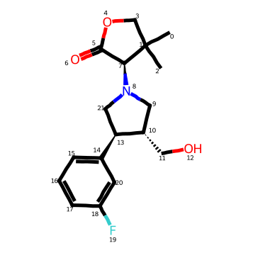 CC1(C)COC(=O)[C@@H]1N1C[C@H](CO)[C@@H](c2cccc(F)c2)C1